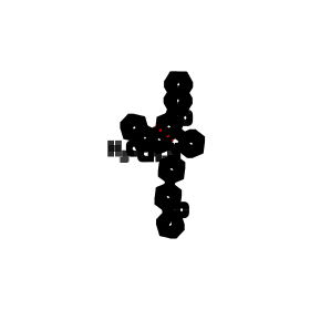 CC1(C)c2ccccc2-c2ccc(N(c3ccc(-c4ccc5c(c4)oc4ccccc45)cc3)c3ccccc3-c3cccc4c3oc3cc5ccccc5cc34)cc21